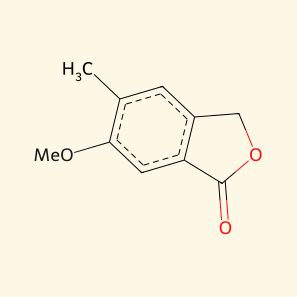 COc1cc2c(cc1C)COC2=O